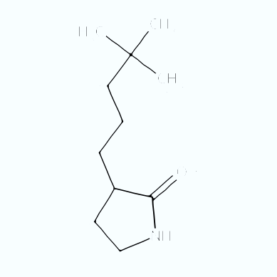 CC(C)(C)CCCC1CCNC1=O